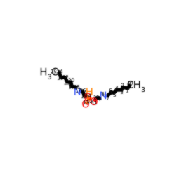 CCCCCCCCN=CCO[PH](=O)OCC=NCCCCCCCC